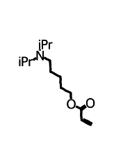 C=CC(=O)OCCCCCN(C(C)C)C(C)C